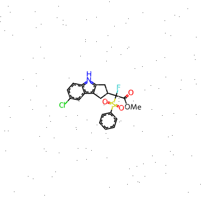 COC(=O)C(F)(C1Cc2[nH]c3ccc(Cl)cc3c2C1)S(=O)(=O)c1ccccc1